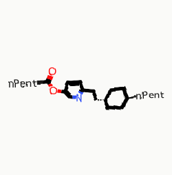 CCCCCC(=O)Oc1ccc(CC[C@H]2CC[C@H](CCCCC)CC2)nc1